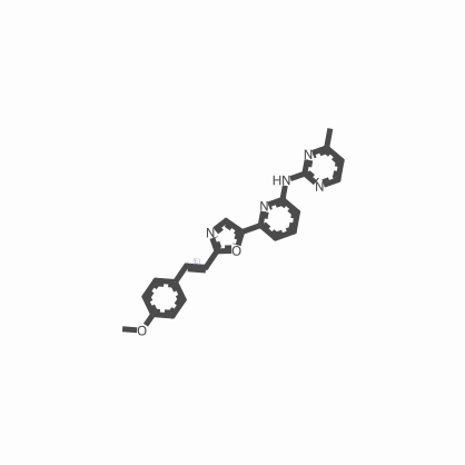 COc1ccc(/C=C/c2ncc(-c3cccc(Nc4nccc(C)n4)n3)o2)cc1